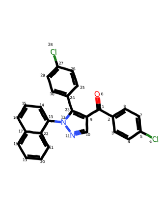 O=C(c1ccc(Cl)cc1)c1cnn(-c2cccc3ccccc23)c1-c1ccc(Cl)cc1